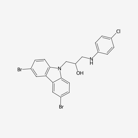 OC(CNc1ccc(Cl)cc1)Cn1c2ccc(Br)cc2c2cc(Br)ccc21